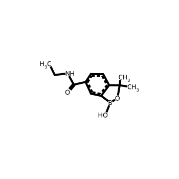 CCNC(=O)c1ccc2c(c1)B(O)OC2(C)C